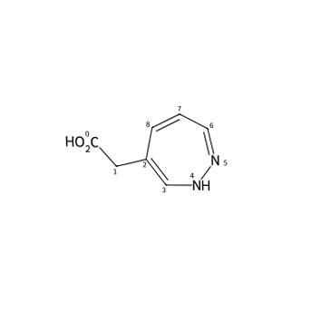 O=C(O)CC1=CNN=CC=C1